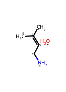 CC(C)=CCN.O